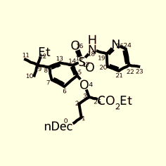 CCCCCCCCCCCCC(Oc1ccc(C(C)(C)CC)cc1S(=O)(=O)Nc1ccc(C)cn1)C(=O)OCC